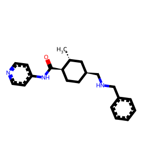 C[C@@H]1C[C@@H](CNCc2ccccc2)CC[C@H]1C(=O)Nc1ccncc1